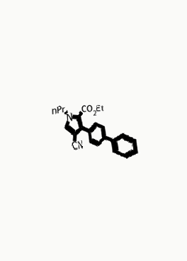 CCCn1cc(C#N)c(-c2ccc(-c3ccccc3)cc2)c1C(=O)OCC